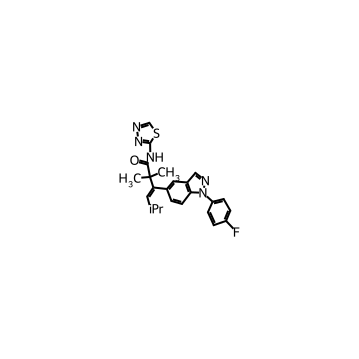 CC(C)/C=C(\c1ccc2c(cnn2-c2ccc(F)cc2)c1)C(C)(C)C(=O)Nc1nncs1